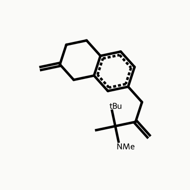 C=C1CCc2ccc(CC(=C)C(C)(NC)C(C)(C)C)cc2C1